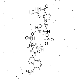 Cc1nc2c(ncn2[C@H]2C[C@@H]3O[PH](=O)OC[C@H]4O[C@@H](n5cnc6c(N)ncnc65)[C@H](F)[C@@H]4O[PH](=O)OC[C@H]3O2)c(=O)[nH]1